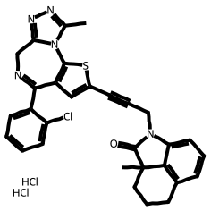 Cc1nnc2n1-c1sc(C#CCN3C(=O)C4(C)CCCc5cccc3c54)cc1C(c1ccccc1Cl)=NC2.Cl.Cl